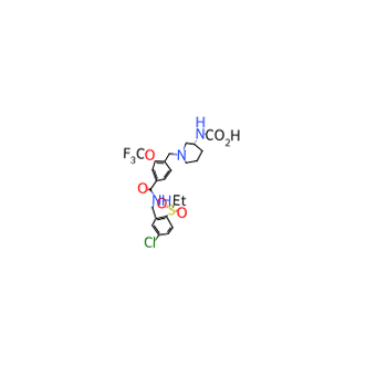 CCS(=O)(=O)c1ccc(Cl)cc1CNC(=O)c1ccc(CN2CCC[C@@H](NC(=O)O)C2)c(OC(F)(F)F)c1